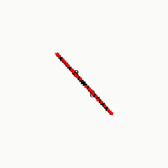 CCCCCCCCC=CCCCCCCCCCCCC(=O)OCCCCCCCCCCCCCCCCCCOC(=O)CCCCCCCCCCCC=CCCCCCCCC